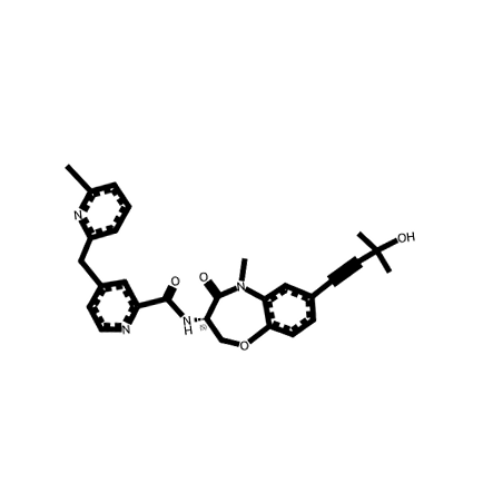 Cc1cccc(Cc2ccnc(C(=O)N[C@H]3COc4ccc(C#CC(C)(C)O)cc4N(C)C3=O)c2)n1